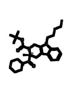 CCCCCn1c2c(c3ccccc31)C[C@](C)(C(=O)N1CCCCC1)N(C(=O)OC(C)(C)C)C2